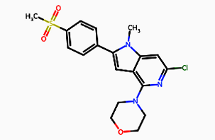 Cn1c(-c2ccc(S(C)(=O)=O)cc2)cc2c(N3CCOCC3)nc(Cl)cc21